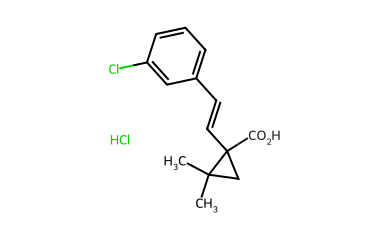 CC1(C)CC1(C=Cc1cccc(Cl)c1)C(=O)O.Cl